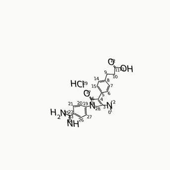 CN(C)C1=C(c2ccc(CCC(=O)O)cc2)C(=O)N(c2ccc(C(=N)N)cc2)C1.Cl